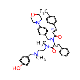 CN(CCN(C)C(=O)[C@H](Cc1ccccc1)N(Cc1ccc(N2CCOCC2)cc1)C(=O)/C=C/c1ccc(C(F)(F)F)cc1)Cc1ccc(O)cc1